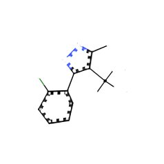 Cc1[nH]nc(-c2ccccc2Cl)c1C(C)(C)C